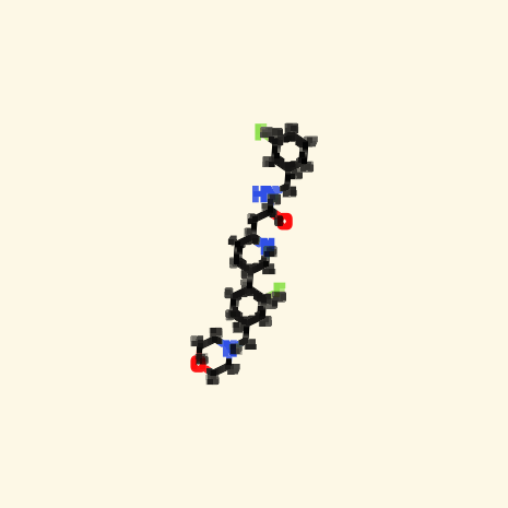 O=C(Cc1ccc(-c2ccc(CN3CCOCC3)cc2F)cn1)NCc1cccc(F)c1